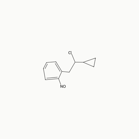 O=Nc1ccccc1CC(Cl)C1CC1